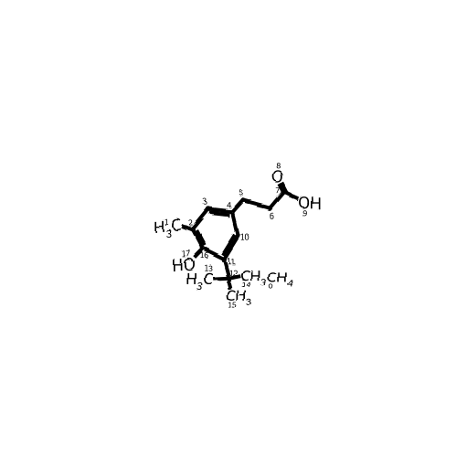 C.Cc1cc(CCC(=O)O)cc(C(C)(C)C)c1O